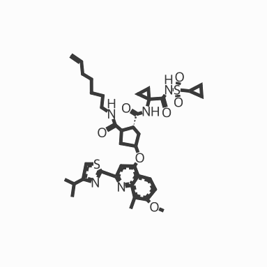 C=CCCCCCNC(=O)C1CC(Oc2cc(-c3nc(C(C)C)cs3)nc3c(C)c(OC)ccc23)C[C@H]1C(=O)NC1(C(=O)NS(=O)(=O)C2CC2)CC1